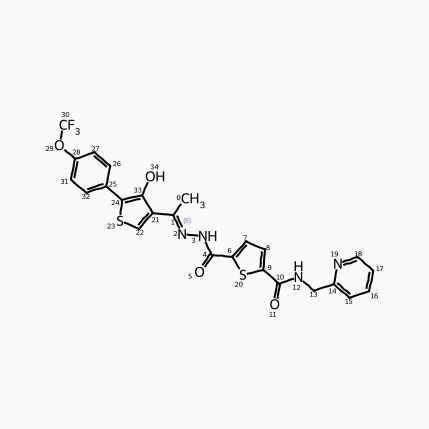 C/C(=N\NC(=O)c1ccc(C(=O)NCc2ccccn2)s1)c1csc(-c2ccc(OC(F)(F)F)cc2)c1O